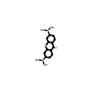 CCCCN(CCCC)c1ccc2cc3ccc(N(CCCC)CCCC)cc3nc2c1.Cl